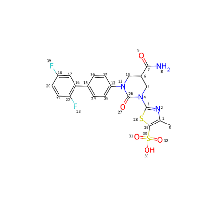 Cc1nc(N2CC(C(N)=O)CN(c3ccc(-c4cc(F)ccc4F)cc3)C2=O)sc1S(=O)(=O)O